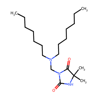 CCCCCCCN(CCCCCCC)CN1C(=O)NC(C)(C)C1=O